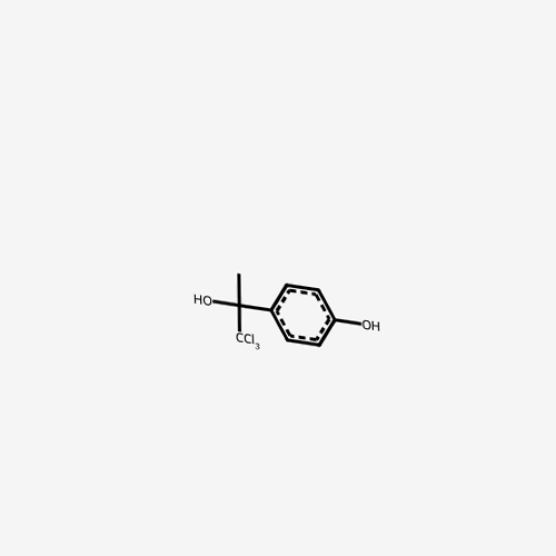 CC(O)(c1ccc(O)cc1)C(Cl)(Cl)Cl